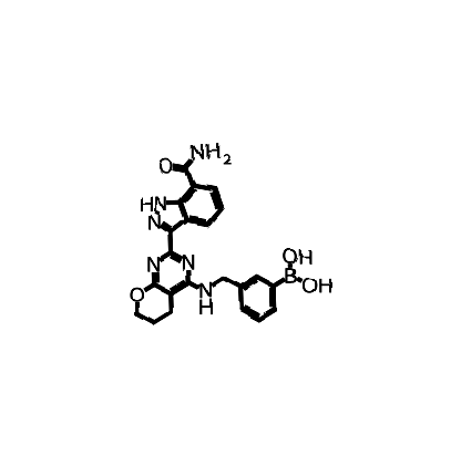 NC(=O)c1cccc2c(-c3nc(NCc4cccc(B(O)O)c4)c4c(n3)OCCC4)n[nH]c12